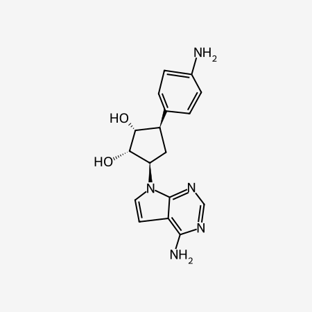 Nc1ccc([C@H]2C[C@@H](n3ccc4c(N)ncnc43)[C@H](O)[C@@H]2O)cc1